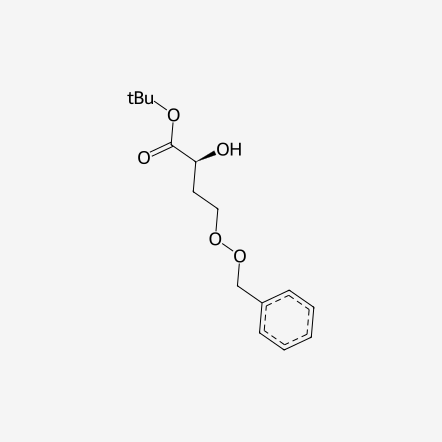 CC(C)(C)OC(=O)[C@@H](O)CCOOCc1ccccc1